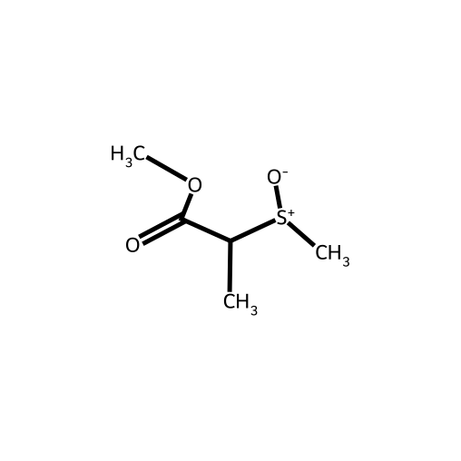 COC(=O)C(C)[S+](C)[O-]